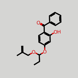 C=C(C)COC(CC)Oc1ccc(C(=O)c2ccccc2)c(O)c1